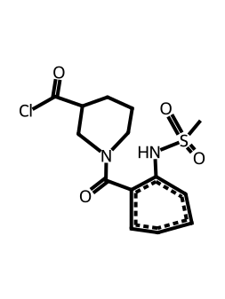 CS(=O)(=O)Nc1ccccc1C(=O)N1CCCC(C(=O)Cl)C1